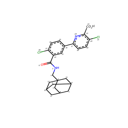 O=C(NCC12CC3CC(CC(C3)C1)C2)c1cc(-c2ccc(Cl)c(C(=O)O)n2)ccc1Cl